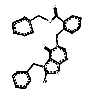 CCCCc1nc2ccn(Cc3ccccc3C(=O)OCc3ccccc3)c(=O)c2n1Cc1ccccc1